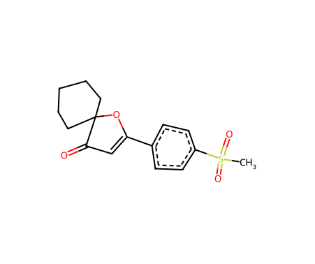 CS(=O)(=O)c1ccc(C2=CC(=O)C3(CCCCC3)O2)cc1